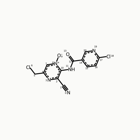 N#Cc1nc(CCl)c[n+]([O-])c1NC(=O)c1ccc(Cl)nc1